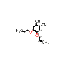 C=CCOc1cc(C#N)c(C#N)cc1OCC=C